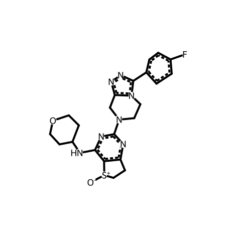 [O-][S+]1CCc2nc(N3CCn4c(nnc4-c4ccc(F)cc4)C3)nc(NC3CCOCC3)c21